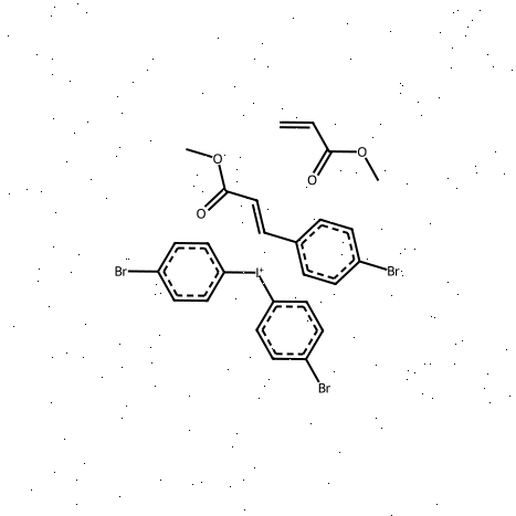 Brc1ccc([I+]c2ccc(Br)cc2)cc1.C=CC(=O)OC.COC(=O)C=Cc1ccc(Br)cc1